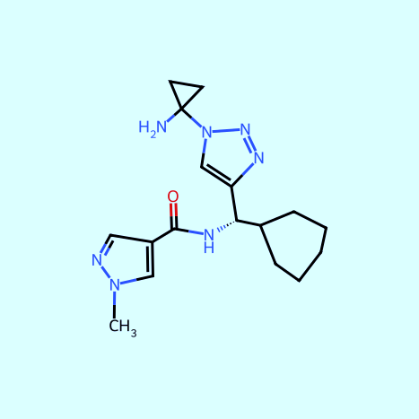 Cn1cc(C(=O)N[C@H](c2cn(C3(N)CC3)nn2)C2CCCCC2)cn1